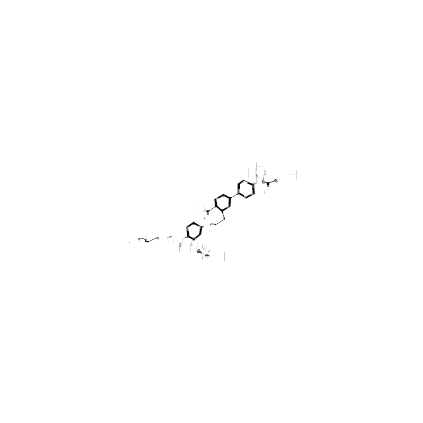 COCCOCOc1ccc(N2CCc3cc(-c4ccc(NC(=O)C(C)(C)C)cc4)ccc3C2=O)cc1NS(C)(=O)=O